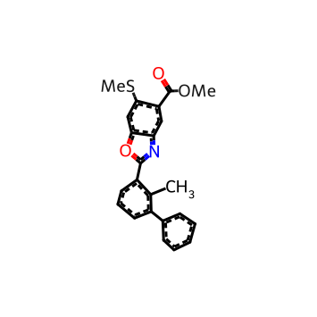 COC(=O)c1cc2nc(-c3cccc(-c4ccccc4)c3C)oc2cc1SC